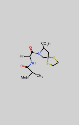 CNC(C)C(=O)NC(C(=O)N1CC2(CC1C(=O)O)SCCS2)C(C)C